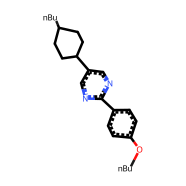 CCCCOc1ccc(-c2ncc(C3CCC(CCCC)CC3)cn2)cc1